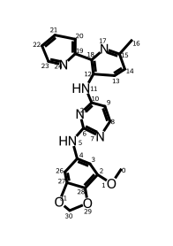 COc1cc(Nc2nccc(Nc3ccc(C)nc3-c3ccccn3)n2)cc2c1OCO2